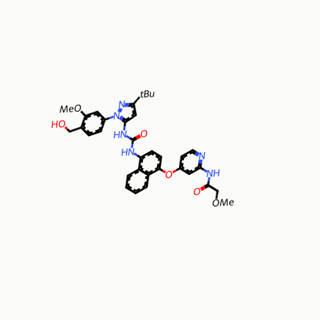 COCC(=O)Nc1cc(Oc2ccc(NC(=O)Nc3cc(C(C)(C)C)nn3-c3ccc(CO)c(OC)c3)c3ccccc23)ccn1